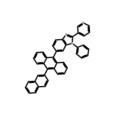 c1ccc(-n2c(-c3cccnc3)nc3ccc(-c4c5ccccc5c(-c5ccc6ccccc6c5)c5ccccc45)cc32)cc1